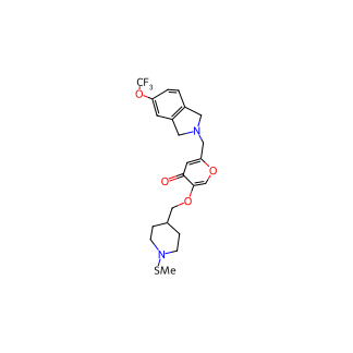 CSN1CCC(COc2coc(CN3Cc4ccc(OC(F)(F)F)cc4C3)cc2=O)CC1